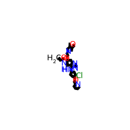 C=CC(=O)Nc1cc2c(Nc3ccc(OCc4ccccn4)c(Cl)c3)ncnc2cc1OCCN1CC2COCC2C1